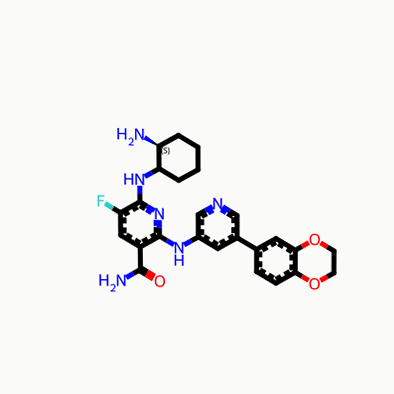 NC(=O)c1cc(F)c(NC2CCCC[C@@H]2N)nc1Nc1cncc(-c2ccc3c(c2)OCCO3)c1